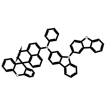 c1ccc(N(c2ccc3c4ccccc4n(-c4ccc5oc6ccccc6c5c4)c3c2)c2ccc3c4c(cccc24)C2(c4ccccc4Oc4ccccc42)c2ccccc2-3)cc1